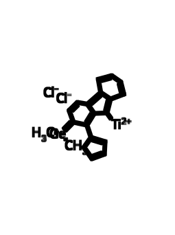 [CH3][Ge]([CH3])=[c]1ccc2c(c1C1=CC=CC1)[C]([Ti+2])=c1ccccc1=2.[Cl-].[Cl-]